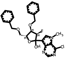 Cn1cc(C2(O)O[C@H](COCc3ccccc3)[C@@H](OCc3ccccc3)[C@H]2F)c2ncnc(Cl)c21